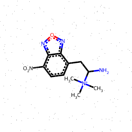 C[N+](C)(C)C(N)Cc1ccc([N+](=O)[O-])c2nonc12